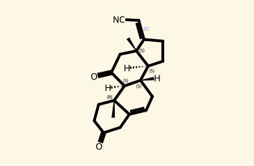 C[C@]12CCC(=O)CC1=CC[C@@H]1[C@@H]2C(=O)C[C@]2(C)/C(=C\C#N)CC[C@@H]12